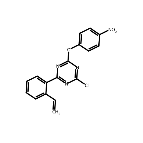 C=Cc1ccccc1-c1nc(Cl)nc(Oc2ccc([N+](=O)[O-])cc2)n1